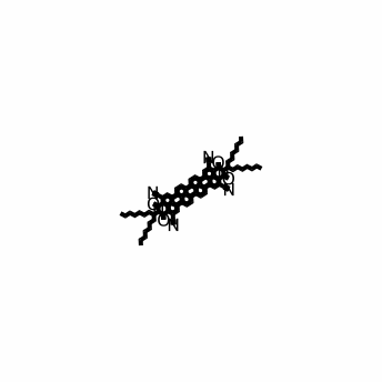 CCCCCCCC(CCCCCCC)N1C(=O)c2c(C#N)cc3c4ccc5c6ccc7c8cc(C#N)c9c%10c(c(C#N)cc(c%11ccc(c%12ccc(c%13cc(C#N)c(c2c3%13)C1=O)c4c5%12)c6c7%11)c%108)C(=O)N(C(CCCCCCC)CCCCCCC)C9=O